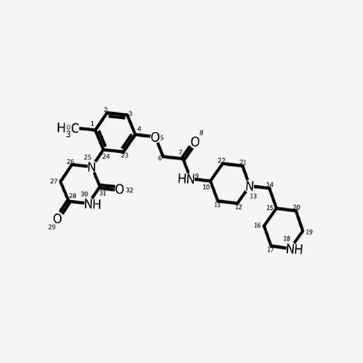 Cc1ccc(OCC(=O)NC2CCN(CC3CCNCC3)CC2)cc1N1CCC(=O)NC1=O